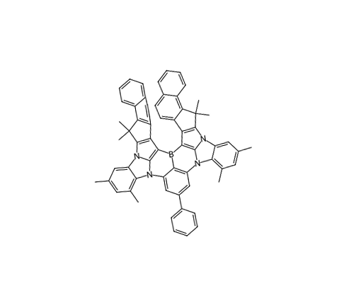 Cc1cc(C)c2c(c1)n1c3c(c4c1n2-c1cc(-c2ccccc2)cc2c1B4c1c4c(n5c6cc(C)cc(C)c6n-2c15)C(C)(C)c1c-4ccc2ccccc12)-c1ccc2ccccc2c1C3(C)C